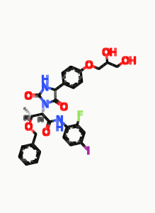 C[C@@H](OCc1ccccc1)[C@@H](C(=O)Nc1ccc(I)cc1F)N1C(=O)NC(c2ccc(OCC(O)CO)cc2)C1=O